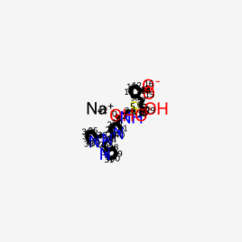 O=C(NCCSC(Cc1ccccc1C(=O)[O-])B(O)O)c1ccc(CN(Cc2ccccn2)Cc2ccccn2)nc1.[Na+]